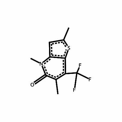 Cc1cc2c(s1)c(C(F)(F)F)c(C)c(=O)n2C